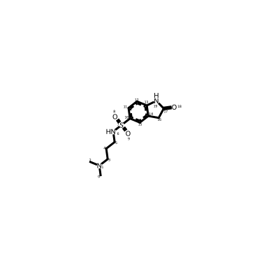 CN(C)CCCNS(=O)(=O)c1ccc2c(c1)CC(=O)N2